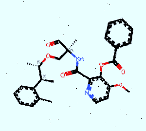 COc1ccnc(C(=O)N[C@](C)(C=O)CO[C@@H](C)[C@@H](C)c2ccccc2C)c1OC(=O)c1ccccc1